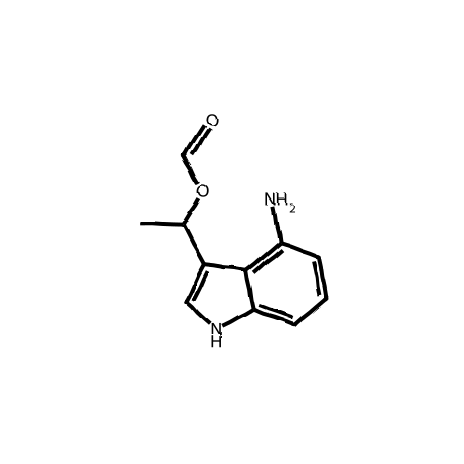 CC(OC=O)c1c[nH]c2cccc(N)c12